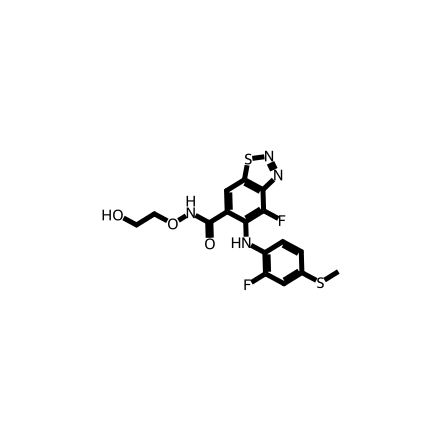 CSc1ccc(Nc2c(C(=O)NOCCO)cc3snnc3c2F)c(F)c1